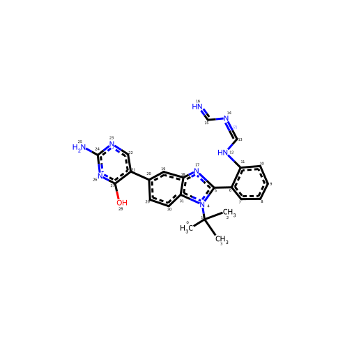 CC(C)(C)n1c(-c2ccccc2N/C=N\C=N)nc2cc(-c3cnc(N)nc3O)ccc21